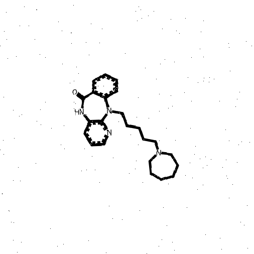 O=C1Nc2cccnc2N(CCCCCN2CCCCCC2)c2ccccc21